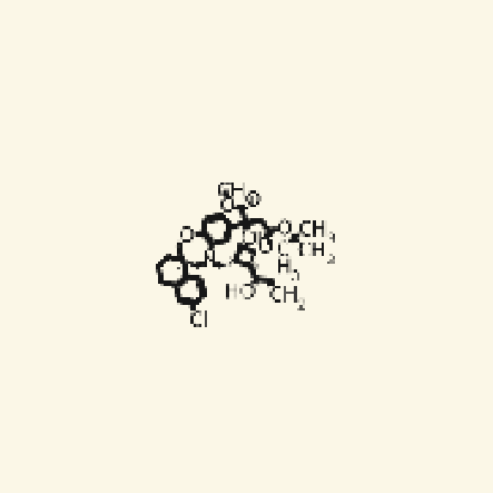 C=C[C@H](O)[C@@H]1CC[C@H]1CN1C[C@@]2(CCCc3cc(Cl)ccc32)COc2ccc(C(O)(CC(=O)OC(C)(C)C)C(=O)OC)cc21